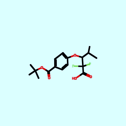 CC(C)C(Oc1ccc(C(=O)OC(C)(C)C)cc1)C(F)(F)C(=O)O